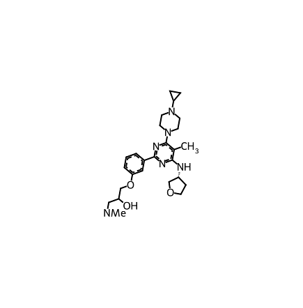 CNCC(O)COc1cccc(-c2nc(N[C@@H]3CCOC3)c(C)c(N3CCN(C4CC4)CC3)n2)c1